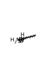 CCCCCCCCCCCCNC(=S)SC(N)=S